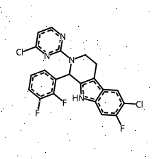 Fc1cc2[nH]c3c(c2cc1Cl)CCN(c1nccc(Cl)n1)C3c1cccc(F)c1F